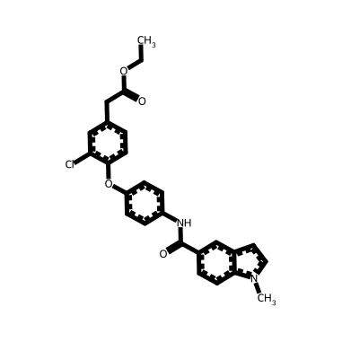 CCOC(=O)Cc1ccc(Oc2ccc(NC(=O)c3ccc4c(ccn4C)c3)cc2)c(Cl)c1